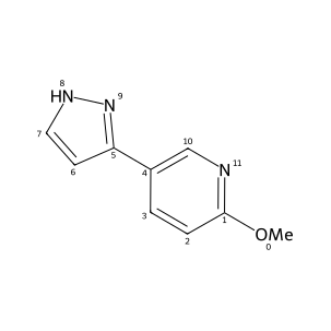 COc1ccc(-c2cc[nH]n2)cn1